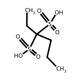 CCCC(CC)(S(=O)(=O)O)S(=O)(=O)O